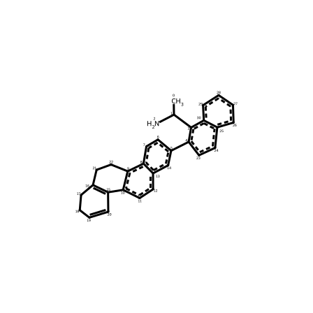 CC(N)c1c(-c2ccc3c4c(ccc3c2)C2=C(CCC=C2)CC4)ccc2ccccc12